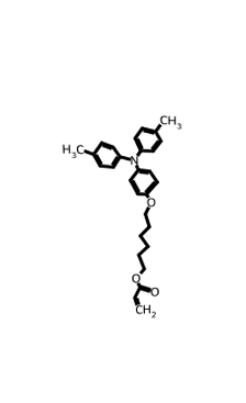 C=CC(=O)OCCCCCCOc1ccc(N(c2ccc(C)cc2)c2ccc(C)cc2)cc1